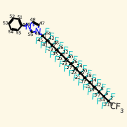 FC(F)(F)C(F)(F)C(F)(F)C(F)(F)C(F)(F)C(F)(F)C(F)(F)C(F)(F)C(F)(F)C(F)(F)C(F)(F)C(F)(F)C(F)(F)C(F)(F)C(F)(F)C(F)(F)n1cc[n+](-c2ccccc2)c1